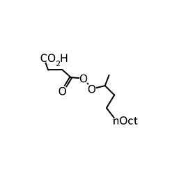 CCCCCCCCCCC(C)OOC(=O)CCC(=O)O